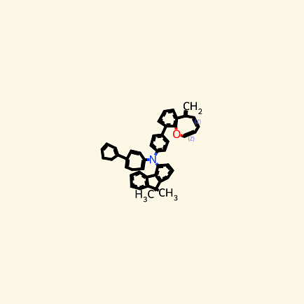 C=C1/C=C\C=C/Oc2c1cccc2-c1ccc(N(C2=CCC=C(C3=CC=CCC3)C=C2)c2cccc3c2-c2ccccc2C3(C)C)cc1